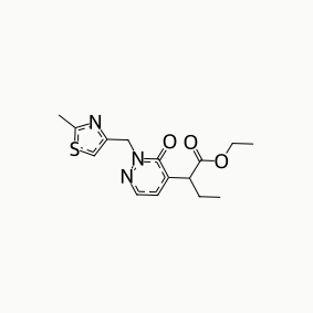 CCOC(=O)C(CC)c1ccnn(Cc2csc(C)n2)c1=O